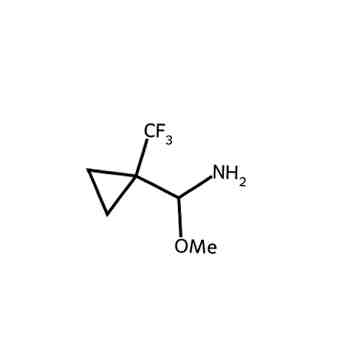 COC(N)C1(C(F)(F)F)CC1